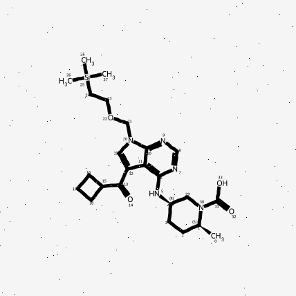 C[C@H]1CC[C@@H](Nc2ncnc3c2c(C(=O)C2CCC2)cn3COCC[Si](C)(C)C)CN1C(=O)O